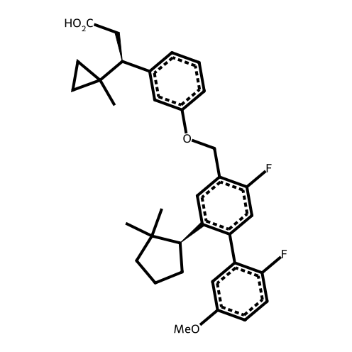 COc1ccc(F)c(-c2cc(F)c(COc3cccc([C@H](CC(=O)O)C4(C)CC4)c3)cc2[C@H]2CCCC2(C)C)c1